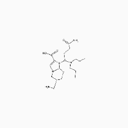 CCCN(CCC)C(CCC(N)=O)N1C(C(=O)O)=CN2CC(CN)CCC21